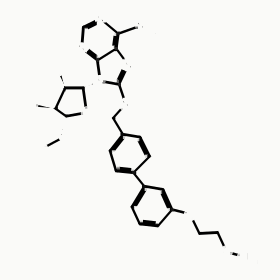 COCCOc1cccc(-c2ccc(CNc3nc4c(N)ncnc4n3[C@@H]3O[C@H](CO)[C@@H](O)[C@H]3O)cc2)c1